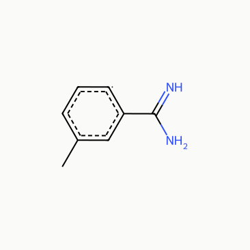 Cc1cc[c]c(C(=N)N)c1